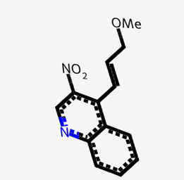 COCC=Cc1c([N+](=O)[O-])cnc2ccccc12